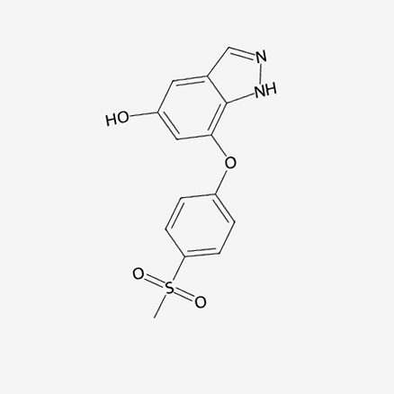 CS(=O)(=O)c1ccc(Oc2cc(O)cc3cn[nH]c23)cc1